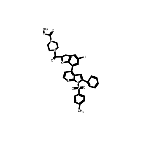 Cc1ccc(S(=O)(=O)n2c(-c3ccccc3)cc3c(-c4cc(Cl)cc5c4OC(C(=O)N4CCN(C(=O)OC(C)(C)C)CC4)C5)ccnc32)cc1